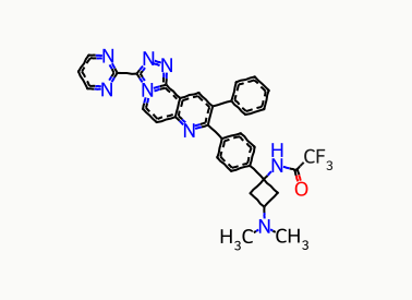 CN(C)C1CC(NC(=O)C(F)(F)F)(c2ccc(-c3nc4ccn5c(-c6ncccn6)nnc5c4cc3-c3ccccc3)cc2)C1